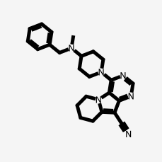 CN(Cc1ccccc1)C1CCN(c2ncnc3c(C#N)c4n(c23)CCCC4)CC1